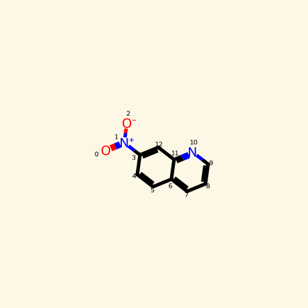 O=[N+]([O-])c1ccc2cccnc2c1